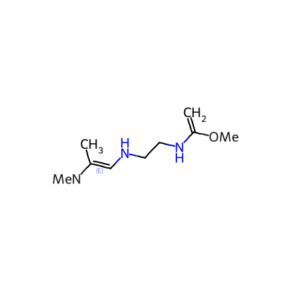 C=C(NCCN/C=C(\C)NC)OC